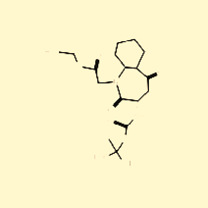 CCOC(=O)CN1C(=O)[C@@H](NC(=O)OC(C)(C)C)CC(=O)C2CCCCC21